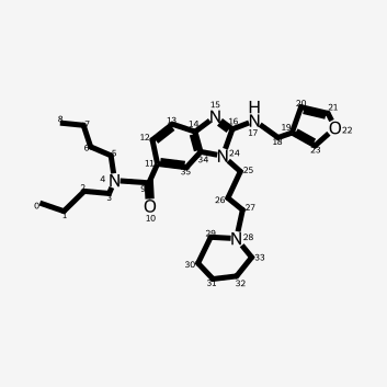 CCCCN(CCCC)C(=O)c1ccc2nc(NCc3ccoc3)n(CCCN3CCCCC3)c2c1